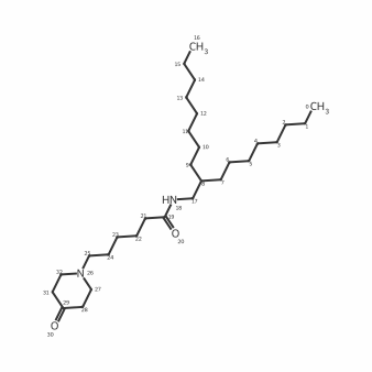 CCCCCCCCC(CCCCCCCC)CNC(=O)CCCCCN1CCC(=O)CC1